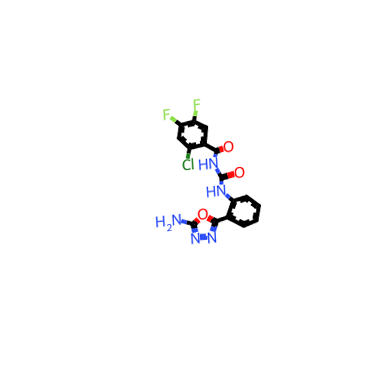 Nc1nnc(-c2ccccc2NC(=O)NC(=O)c2cc(F)c(F)cc2Cl)o1